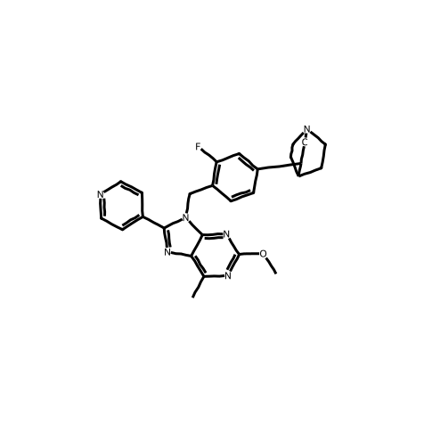 COc1nc(C)c2nc(-c3ccncc3)n(Cc3ccc(C4CN5CCC4CC5)cc3F)c2n1